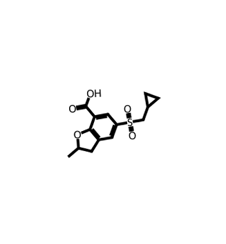 CC1Cc2cc(S(=O)(=O)CC3CC3)cc(C(=O)O)c2O1